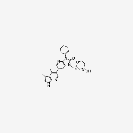 Cc1c[nH]c2ncc(-c3cnc4c(c3)n(C[C@H]3C[C@@H](O)CCO3)c(=O)n4C3=CCCCC3)c(C)c12